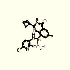 Cc1cc([C@@H](C)Nc2ccc(Cl)nc2C(=O)O)c2nc(C34CC(C3)C4)n(C)c(=O)c2c1